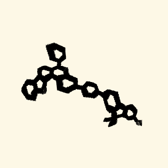 CC1(C)c2cc(C#N)ccc2-c2ccc(-c3ccc(-c4ccc5c(c4)nc(-c4ccccc4)c4ccc6c7ccccc7oc6c45)cc3)cc21